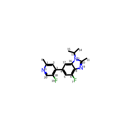 Cc1cc(-c2cc(F)c3nc(C)n(C(C)C)c3c2)c(F)cn1